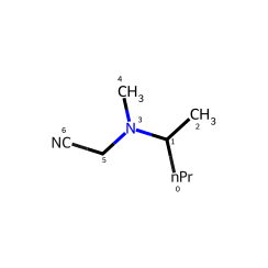 CCCC(C)N(C)CC#N